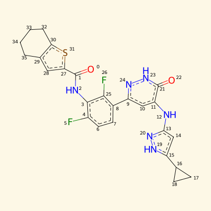 O=C(Nc1c(F)ccc(-c2cc(Nc3cc(C4CC4)[nH]n3)c(=O)[nH]n2)c1F)c1cc2c(s1)CCCC2